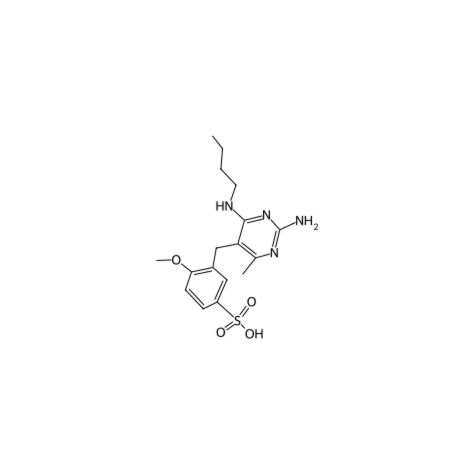 CCCCNc1nc(N)nc(C)c1Cc1cc(S(=O)(=O)O)ccc1OC